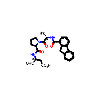 CC(C)[C@H](NC(=O)c1cccc2c1Cc1ccccc1-2)C(=O)N1CCCC1C(=O)N[C@H](C=O)CC(=O)O